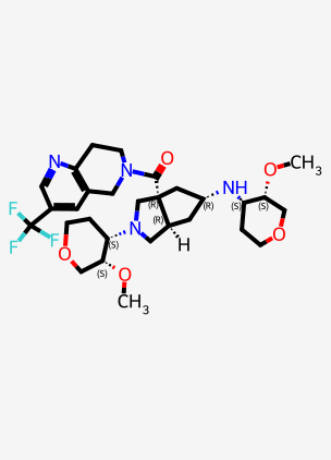 CO[C@@H]1COCC[C@@H]1N[C@@H]1C[C@H]2CN([C@H]3CCOC[C@H]3OC)C[C@@]2(C(=O)N2CCc3ncc(C(F)(F)F)cc3C2)C1